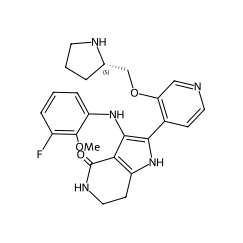 COc1c(F)cccc1Nc1c(-c2ccncc2OC[C@@H]2CCCN2)[nH]c2c1C(=O)NCC2